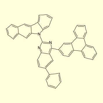 c1ccc(-c2ccc3nc(-n4c5ccccc5c5cc6ccccc6cc54)nc(-c4ccc5c6ccccc6c6ccccc6c5c4)c3c2)cc1